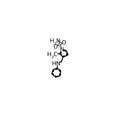 Cc1c(CNc2ccccc2)ccn1S(N)(=O)=O